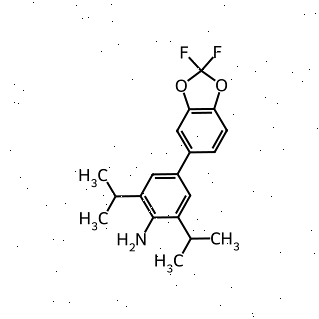 CC(C)c1cc(-c2ccc3c(c2)OC(F)(F)O3)cc(C(C)C)c1N